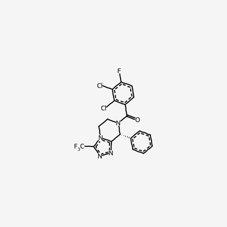 O=C(c1ccc(F)c(Cl)c1Cl)N1CCn2c(nnc2C(F)(F)F)[C@H]1c1ccccc1